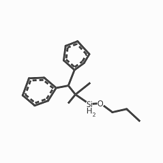 CCCO[SiH2]C(C)(C)C(c1ccccc1)c1ccccc1